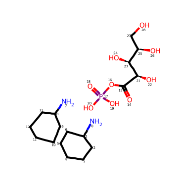 NC1CCCCC1.NC1CCCCC1.O=C(OP(=O)(O)O)[C@H](O)[C@@H](O)[C@H](O)CO